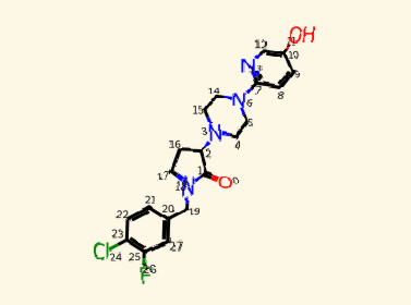 O=C1[C@H](N2CCN(c3ccc(O)cn3)CC2)CCN1Cc1ccc(Cl)c(F)c1